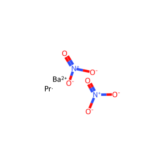 O=[N+]([O-])[O-].O=[N+]([O-])[O-].[Ba+2].[Pr]